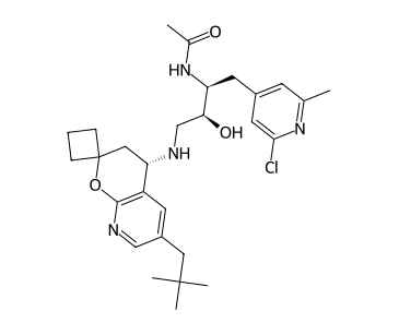 CC(=O)N[C@@H](Cc1cc(C)nc(Cl)c1)[C@@H](O)CN[C@H]1CC2(CCC2)Oc2ncc(CC(C)(C)C)cc21